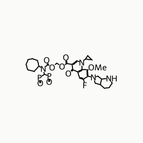 COc1c(N2CC3CCCNC3C2)c(F)cc2c(=O)c(C(=O)OCOC(=O)N(C3CCCCCC3)C(P=O)P=O)cn(C3CC3)c12